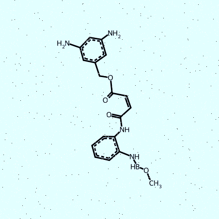 COBNc1ccccc1NC(=O)/C=C\C(=O)OCc1cc(N)cc(N)c1